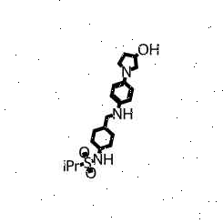 CC(C)S(=O)(=O)NC1CCC(CNc2ccc(N3CCC(O)C3)cc2)CC1